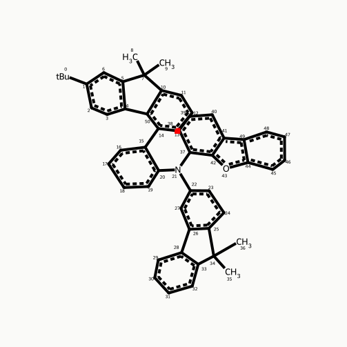 CC(C)(C)c1ccc2c(c1)C(C)(C)c1cccc(-c3ccccc3N(c3ccc4c(c3)-c3ccccc3C4(C)C)c3cccc4c3oc3ccccc34)c1-2